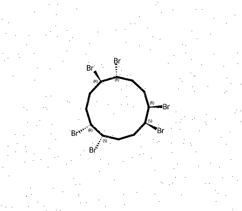 Br[C@@H]1CC[C@@H](Br)[C@@H](Br)CC[C@H](Br)[C@H](Br)CC[C@H]1Br